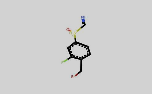 N=C[SH2+]([O-])c1ccc(CBr)c(F)c1